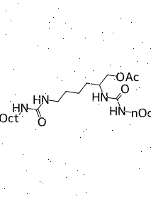 CCCCCCCCNC(=O)NCCCCC(COC(C)=O)NC(=O)NCCCCCCCC